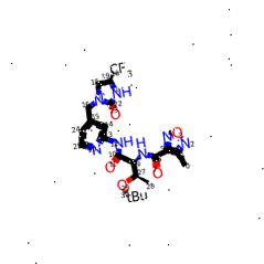 Cc1nonc1C(=O)N[C@H](C(=O)Nc1cc(CN2C[C@@H](C(F)(F)F)NC2=O)ccn1)[C@@H](C)OC(C)(C)C